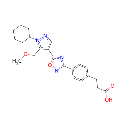 COCc1c(-c2nc(-c3ccc(CCC(=O)O)cc3)no2)cnn1C1CCCCC1